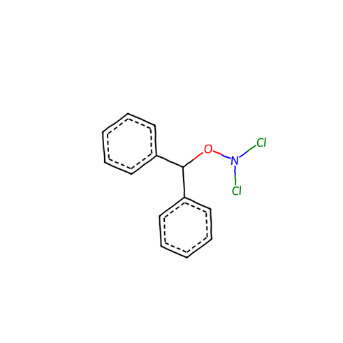 ClN(Cl)OC(c1ccccc1)c1ccccc1